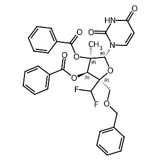 C[C@]1(OC(=O)c2ccccc2)[C@H](n2ccc(=O)[nH]c2=O)O[C@@](COCc2ccccc2)(C(F)F)[C@H]1OC(=O)c1ccccc1